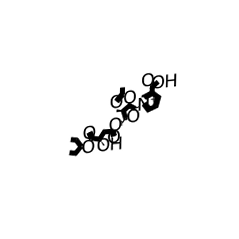 CCC(CC)OC(=O)[C@@H](O)CC(=O)OC[C@H]1O[C@@H]([n+]2cccc(C(=O)O)c2)[C@H](OC(C)=O)[C@@H]1C